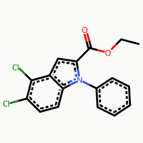 CCOC(=O)c1cc2c(Cl)c(Cl)ccc2n1-c1ccccc1